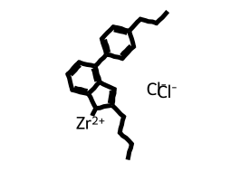 CCCCC1=Cc2c(-c3ccc(CCC)cc3)cccc2[CH]1[Zr+2].[Cl-].[Cl-]